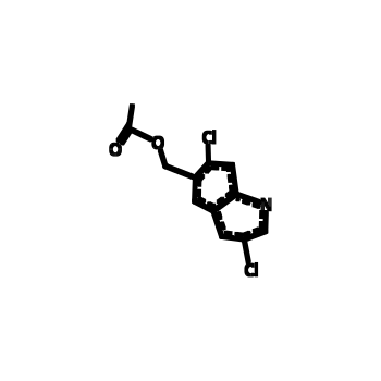 CC(=O)OCc1cc2cc(Cl)cnc2cc1Cl